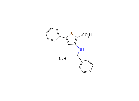 O=C(O)c1sc(-c2ccccc2)cc1NCc1ccccc1.[NaH]